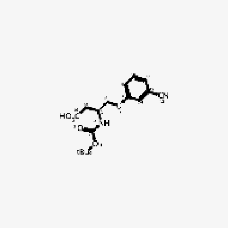 CC(C)(C)OC(=O)N[C@H](COc1cccc(C#N)c1)CC(=O)O